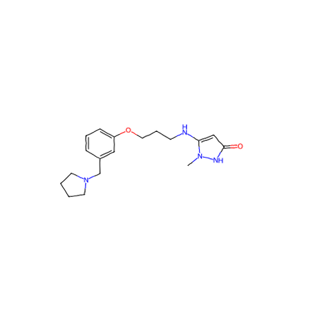 Cn1[nH]c(=O)cc1NCCCOc1cccc(CN2CCCC2)c1